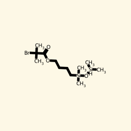 C[SiH](C)O[Si](C)(C)CCCCOC(=O)C(C)(C)Br